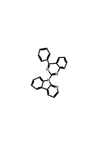 c1ccc(-c2nc(-n3c4ccccc4c4cccnc43)nc3ccccc23)cc1